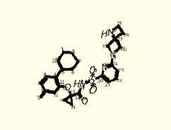 Cc1ccc(C2CCCCC2)c(OC2(C(=O)NS(=O)(=O)c3cccc(N4CC5(CCN5)C4)n3)CC2)c1